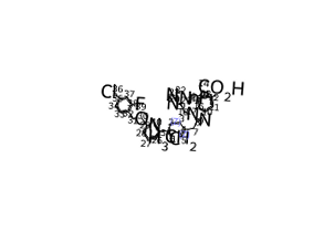 C=C(/C=C\C(=C/C)Cc1nc2ccc(C(=O)O)cc2n1Cc1nncn1CCC)c1cccc(OCc2ccc(Cl)cc2F)n1